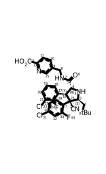 CC(C)(C)C[C@@H]1N[C@@H](C(=O)NCc2ccc(C(=O)O)nc2)[C@H](c2cccc(Cl)c2F)[C@@]1(C#N)c1ccc(Cl)cc1F